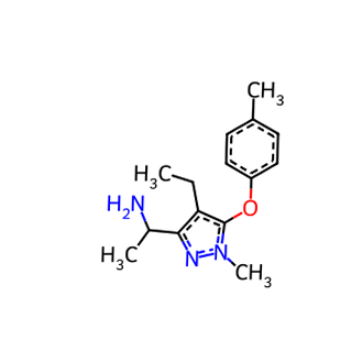 CCc1c(C(C)N)nn(C)c1Oc1ccc(C)cc1